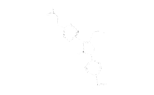 COC1=C(c2ccc(CCC(=O)O)cc2)C(=O)N(c2ccc(C(=N)N)cc2)C1